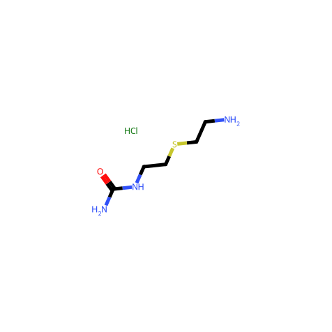 Cl.NCCSCCNC(N)=O